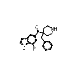 O=C(c1cc(F)c2[nH]ccc2c1)C1(Cc2ccccc2)CCNCC1